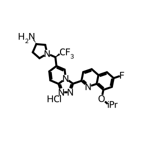 CC(C)Oc1cc(F)cc2ccc(-c3nnc4ccc([C@@H](N5CC[C@H](N)C5)C(F)(F)F)cn34)nc12.Cl